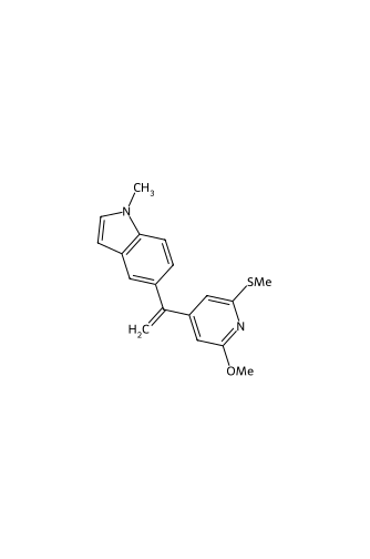 C=C(c1cc(OC)nc(SC)c1)c1ccc2c(ccn2C)c1